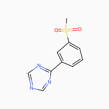 CS(=O)(=O)c1cccc(-c2n[c]ncn2)c1